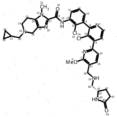 COc1nc(-c2ccnc(-c3cccc(NC(=O)c4nc5c(n4C)CCN(CC4CC4)C5)c3Cl)c2Cl)ccc1CNC[C@@H]1CCC(=O)N1